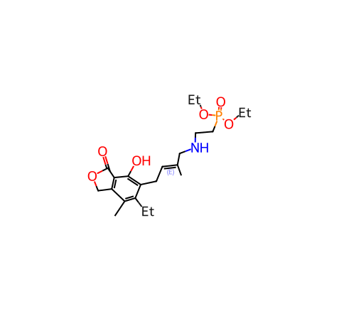 CCOP(=O)(CCNC/C(C)=C/Cc1c(O)c2c(c(C)c1CC)COC2=O)OCC